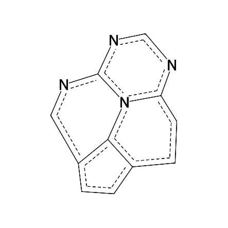 c1nc2ccc3ccc4cnc(n1)n2c34